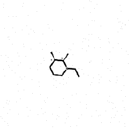 CCN1CCC[C@@H](C)[C@H]1C